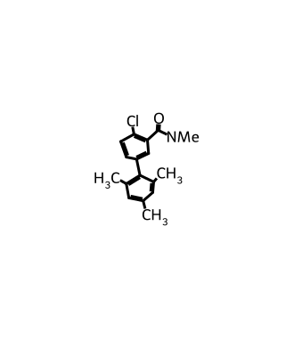 CNC(=O)c1cc(-c2c(C)cc(C)cc2C)ccc1Cl